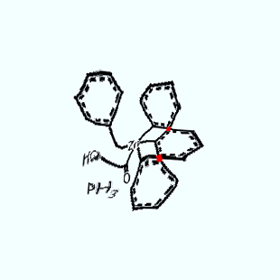 O=[C](O)[Zn]([CH2]c1ccccc1)([c]1ccccc1)([c]1ccccc1)[c]1ccccc1.P